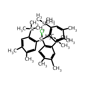 Cc1cc([Si](C)(C)C)c([Si](Cl)(c2cc(C)c(C)cc2[Si](C)(C)C)c2cc(C)c(C)cc2[Si](C)(C)C)cc1C